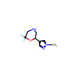 Cn1cc(C2CNCC(F)(F)O2)cn1